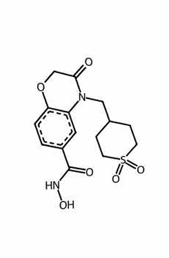 O=C(NO)c1ccc2c(c1)N(CC1CCS(=O)(=O)CC1)C(=O)CO2